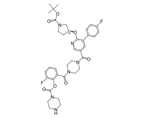 CC(C)(C)OC(=O)N1CC[C@H](Oc2ncc(C(=O)N3CCN(C(=O)c4cccc(F)c4OC(=O)N4CCNCC4)CC3)cc2-c2ccc(F)cc2)C1